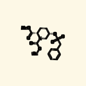 COC(=O)[C@@H]1CC[C@H](OS(=O)(=O)Cc2ccccc2)CN1C(=O)OC(C)(C)C